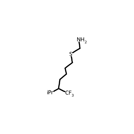 CC(C)C(CCCCSCN)C(F)(F)F